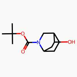 CC(C)(C)OC(=O)N1CC2CCC1CC2O